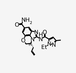 C=CC[C@@H]1COc2cc(C(N)=O)cc3nc(NC(=O)c4cc(C)nn4CC)n1c23